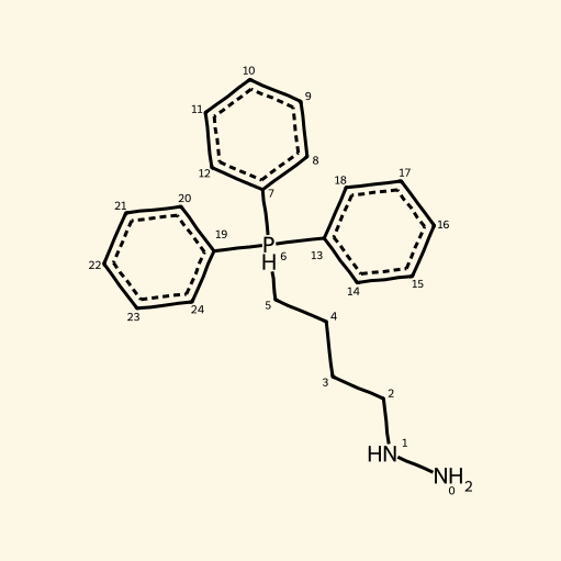 NNCCCC[PH](c1ccccc1)(c1ccccc1)c1ccccc1